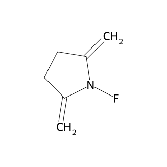 C=C1CCC(=C)N1F